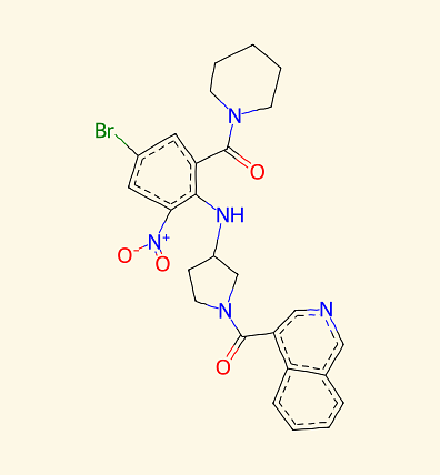 O=C(c1cc(Br)cc([N+](=O)[O-])c1NC1CCN(C(=O)c2cncc3ccccc23)C1)N1CCCCC1